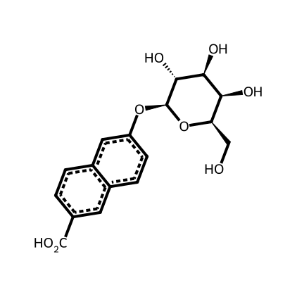 O=C(O)c1ccc2cc(O[C@@H]3O[C@H](CO)[C@H](O)[C@H](O)[C@H]3O)ccc2c1